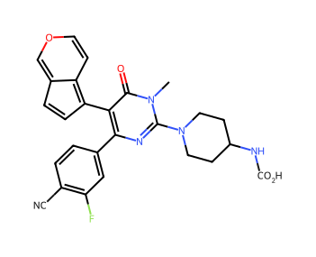 Cn1c(N2CCC(NC(=O)O)CC2)nc(-c2ccc(C#N)c(F)c2)c(-c2ccc3coccc2-3)c1=O